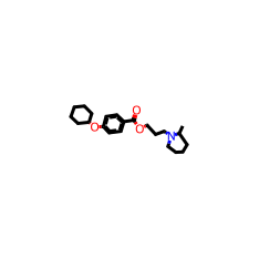 CC1CCCCN1CCCOC(=O)c1ccc(OC2CCCCC2)cc1